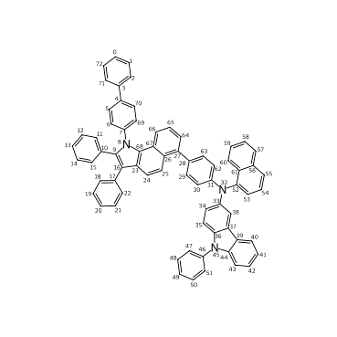 c1ccc(-c2ccc(-n3c(-c4ccccc4)c(-c4ccccc4)c4ccc5c(-c6ccc(N(c7ccc8c(c7)c7ccccc7n8-c7ccccc7)c7cccc8ccccc78)cc6)cccc5c43)cc2)cc1